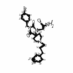 NC(=O)CN1C(=O)N(Cc2ccc(Br)cc2)C(=O)C12CCN(CC[CH]c1ccccc1)CC2